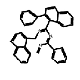 C=N/C(=N\C(=N/Cc1cccc2ccccc12)c1c(-c2ccccc2)ccc2ccccc12)c1ccccc1